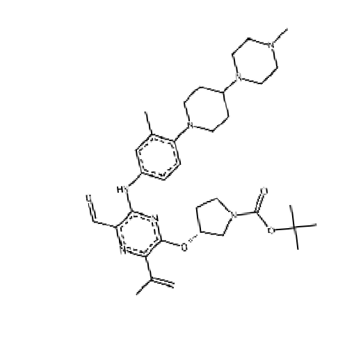 C=C(C)c1nc(C=O)c(Nc2ccc(N3CCC(N4CCN(C)CC4)CC3)c(C)c2)nc1O[C@@H]1CCN(C(=O)OC(C)(C)C)C1